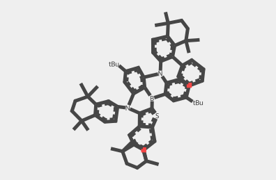 CC(C)(C)c1ccc2c(c1)B1c3sc4cc5c(cc4c3N(c3ccc4c(c3)C(C)(C)CCC4(C)C)c3cc(C(C)(C)C)cc(c31)N2c1ccc2c(c1-c1ccccc1)C(C)(C)CCC2(C)C)C1(C)CCC5(C)CC1